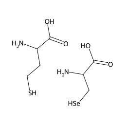 NC(CCS)C(=O)O.NC(C[SeH])C(=O)O